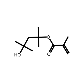 C=C(C)C(=O)OC(C)(C)CC(C)(C)O